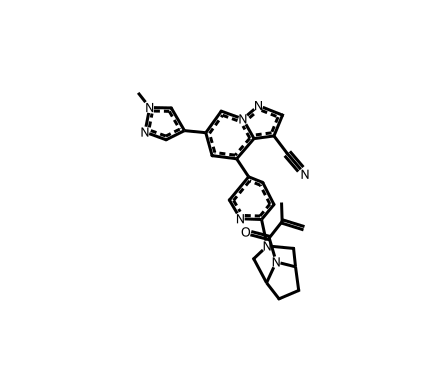 C=C(C)C(=O)N1C2CCC1CN(c1ccc(-c3cc(-c4cnn(C)c4)cn4ncc(C#N)c34)cn1)C2